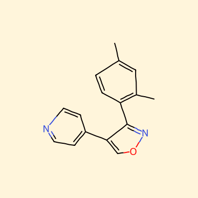 Cc1ccc(-c2nocc2-c2ccncc2)c(C)c1